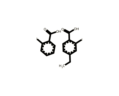 CCc1ccc(C(=O)O)c(I)c1.O=C(O)c1ccccc1I